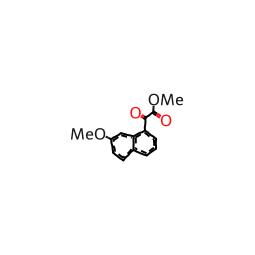 COC(=O)C(=O)c1cccc2ccc(OC)cc12